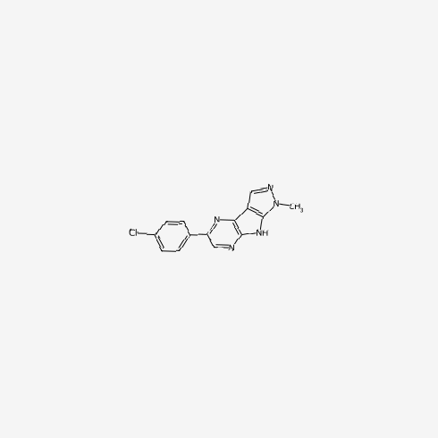 Cn1ncc2c3nc(-c4ccc(Cl)cc4)cnc3[nH]c21